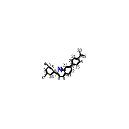 Cc1cc(C)cc(-c2ccc3ccc(-c4ccc(C(C)C)cc4)cc3n2)c1